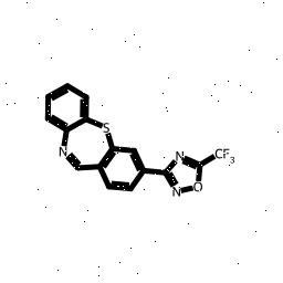 FC(F)(F)c1nc(-c2ccc3c(c2)Sc2ccccc2N=C3)no1